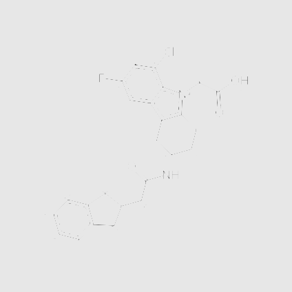 O=C(O)Cn1c2c(c3cc(F)cc(Cl)c31)C[C@@H](NC(=O)CC1Cc3ccccc3C1)CC2